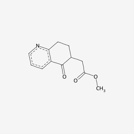 COC(=O)CC1CCc2ncccc2C1=O